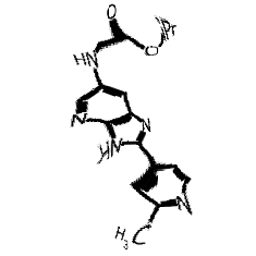 Cc1cc(-c2nc3cc(NC(=O)OC(C)C)cnc3[nH]2)ccn1